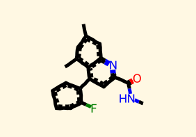 CNC(=O)c1cc(-c2ccccc2F)c2c(C)cc(C)cc2n1